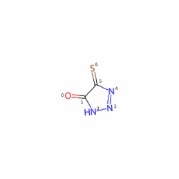 O=C1NN=NC1=S